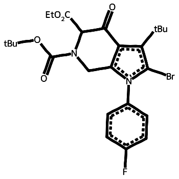 CCOC(=O)C1C(=O)c2c(C(C)(C)C)c(Br)n(-c3ccc(F)cc3)c2CN1C(=O)OC(C)(C)C